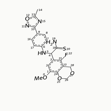 COc1cc(C(Nc2ccc(-c3noc(C)n3)cc2)C(N)=S)c(F)c2c1OCOC2